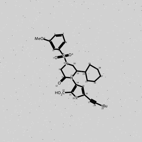 COc1cccc(S(=O)(=O)N2CC(=O)N(c3cc(C#CC(C)(C)C)sc3C(=O)O)C(C3CCCCC3)C2)c1